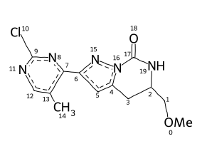 COCC1Cc2cc(-c3nc(Cl)ncc3C)nn2C(=O)N1